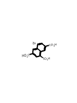 O=C(O)c1cc(S(=O)(=O)O)c2cc(C(=O)O)ccc2c1.[Zn]